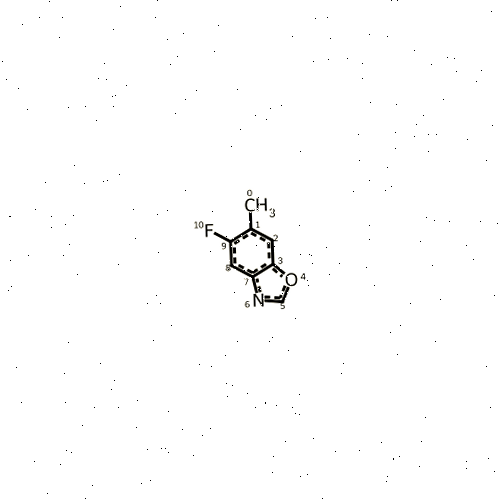 Cc1cc2ocnc2cc1F